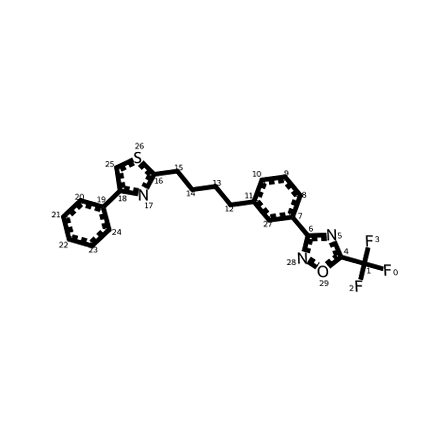 FC(F)(F)c1nc(-c2cccc(CCCCc3nc(-c4ccccc4)cs3)c2)no1